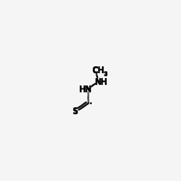 CNN[C]=S